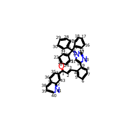 O=C(C=Cc1ccccc1-c1cn(C(c2ccccc2)(c2ccccc2)c2ccccc2)cn1)c1ccc2cccnc2c1